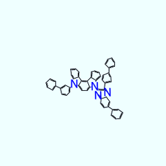 c1ccc(-c2ccc(-c3nc4cc(-c5ccccc5)ccc4nc3-n3c4ccccc4c4c5c6ccccc6n(-c6cccc(-c7ccccc7)c6)c5ccc43)cc2)cc1